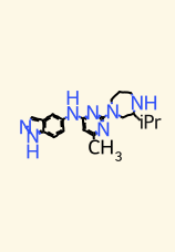 Cc1cc(Nc2ccc3[nH]ncc3c2)nc(N2CCCNC(C(C)C)C2)n1